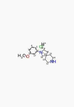 COc1cccc(N2CCC3(CCNCC3)C2)c1.[Cl-].[H+]